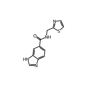 O=C(NCc1nccs1)c1ccc2nc[nH]c2c1